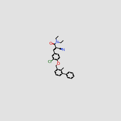 CCN(CC)C(=O)/C(C#N)=C/c1ccc(OCc2cccc(-c3ccccc3)c2C)c(Cl)c1